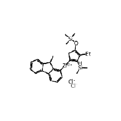 CCC1=C(O[Si](C)(C)C)C[C]([Zr+2][c]2cccc3c2C(C)c2ccccc2-3)=C1[SiH](C)C.[Cl-].[Cl-]